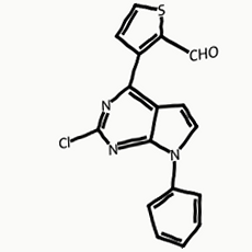 O=Cc1sccc1-c1nc(Cl)nc2c1ccn2-c1ccccc1